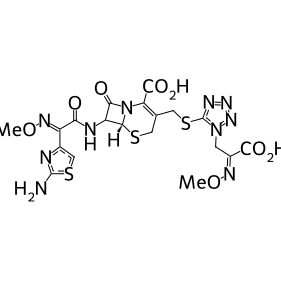 CO/N=C(\Cn1nnnc1SCC1=C(C(=O)O)N2C(=O)C(NC(=O)/C(=N/OC)c3csc(N)n3)[C@H]2SC1)C(=O)O